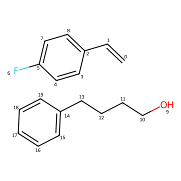 C=Cc1ccc(F)cc1.OCCCCc1ccccc1